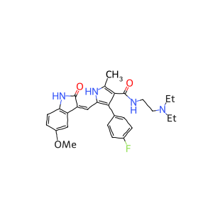 CCN(CC)CCNC(=O)c1c(C)[nH]c(C=C2C(=O)Nc3ccc(OC)cc32)c1-c1ccc(F)cc1